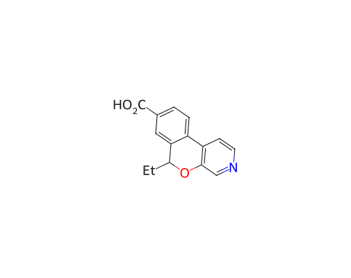 CCC1Oc2cnccc2-c2ccc(C(=O)O)cc21